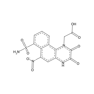 NS(=O)(=O)c1cccc2c1c([N+](=O)[O-])cc1[nH]c(=O)c(=O)n(CC(=O)O)c12